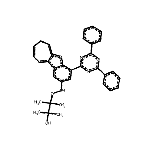 CC(C)(O)C(C)(C)OBc1cc(-c2nc(-c3ccccc3)nc(-c3ccccc3)n2)c2sc3c(c2c1)=CC=CCC=3